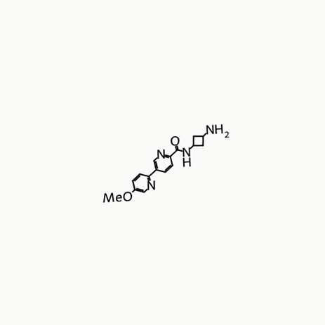 COc1ccc(-c2ccc(C(=O)NC3CC(N)C3)nc2)nc1